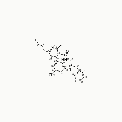 CCCCc1nc(C)c(C(=O)NCCCc2ccccc2)c(-c2cc(Cl)cc(Cl)c2)n1